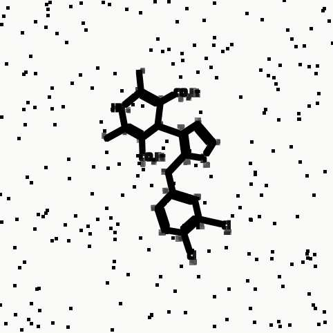 CCOC(=O)C1=C(C)NC(C)=C(C(=O)OCC)C1c1ccsc1Cc1ccc(Cl)c(Cl)c1